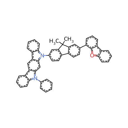 CC1(C)c2cc(-c3cccc4c3oc3ccccc34)ccc2-c2ccc(-n3c4ccccc4c4cc5c6ccccc6n(-c6ccccc6)c5cc43)cc21